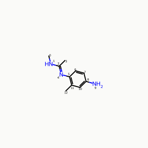 CN/C(C)=N/c1ccc(N)cc1C